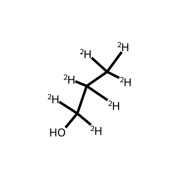 [2H]C([2H])([2H])C([2H])([2H])C([2H])([2H])O